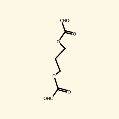 O=[C]C(=O)OCCCOC(=O)[C]=O